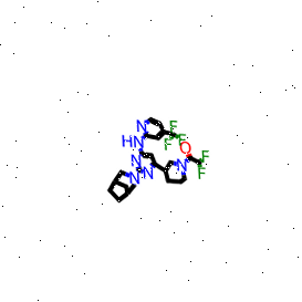 O=C(C(F)F)N1CCCC(c2cc(Nc3cc(C(F)(F)F)ccn3)nc(N3CC4CCC(C4)C3)n2)C1